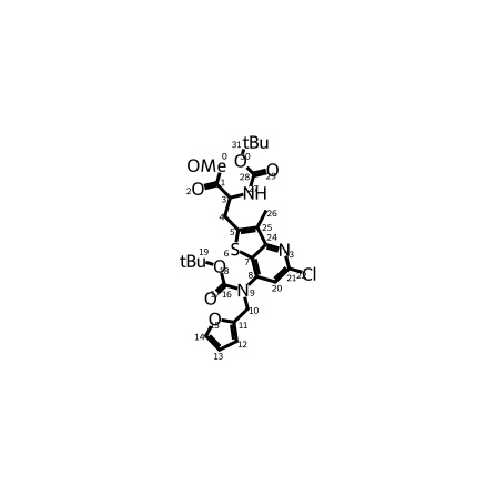 COC(=O)C(Cc1sc2c(N(Cc3ccco3)C(=O)OC(C)(C)C)cc(Cl)nc2c1C)NC(=O)OC(C)(C)C